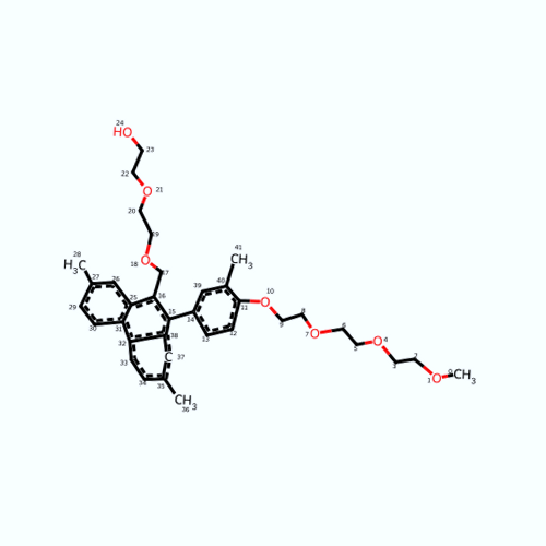 COCCOCCOCCOc1ccc(-c2c(COCCOCCO)c3cc(C)ccc3c3ccc(C)cc23)cc1C